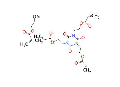 C=C(C)C(=O)OCCOC(C)=O.C=CC(=O)OCCn1c(=O)n(CCOC(=O)C=C)c(=O)n(CCOC(=O)C=C)c1=O